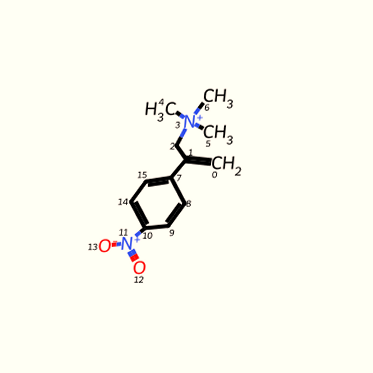 C=C(C[N+](C)(C)C)c1ccc([N+](=O)[O-])cc1